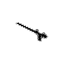 CCCCCCCCCCCCCCCCCC(=O)OCC(COC(=O)OC(C)(C)C)OC(=O)OC(C)(C)C